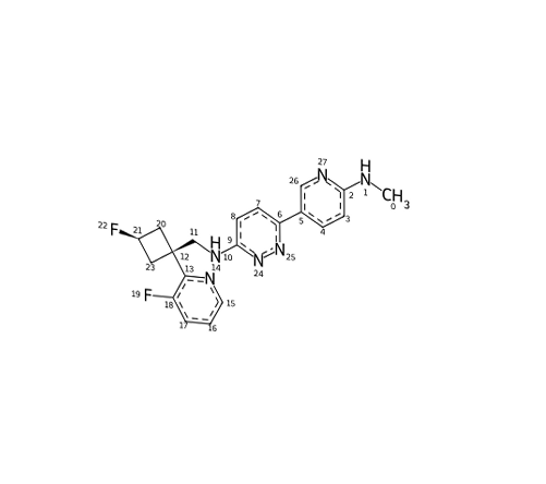 CNc1ccc(-c2ccc(NC[C@]3(c4ncccc4F)C[C@H](F)C3)nn2)cn1